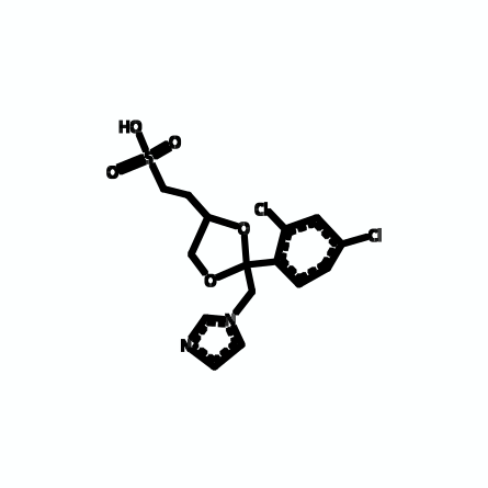 O=S(=O)(O)CCC1COC(Cn2ccnc2)(c2ccc(Cl)cc2Cl)O1